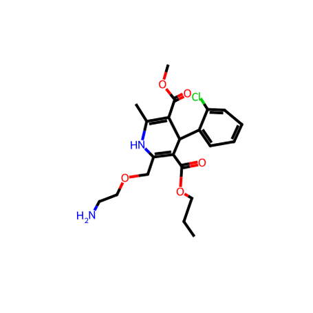 CCCOC(=O)C1=C(COCCN)NC(C)=C(C(=O)OC)C1c1ccccc1Cl